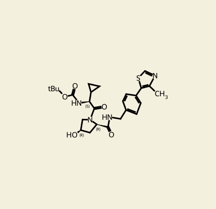 Cc1ncsc1-c1ccc(CNC(=O)[C@H]2C[C@@H](O)CN2C(=O)[C@@H](NC(=O)OC(C)(C)C)C2CC2)cc1